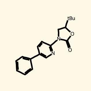 CC(C)(C)C1CN(c2ccc(-c3ccccc3)cn2)C(=O)O1